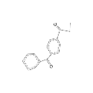 CCC(=O)c1ccc(C(=O)c2ccccc2)cc1